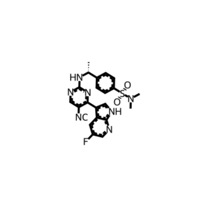 [C-]#[N+]c1cnc(N[C@H](C)c2ccc(S(=O)(=O)N(C)C)cc2)nc1-c1c[nH]c2ncc(F)cc12